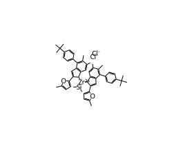 Cc1ccc(C2=Cc3c(cc(C)c(C)c3-c3ccc(C(C)(C)C)cc3)[CH]2[Zr+2]([CH]2C(c3ccc(C)o3)=Cc3c2cc(C)c(C)c3-c2ccc(C(C)(C)C)cc2)=[Si](C)C)o1.[Cl-].[Cl-]